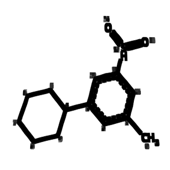 Cc1cc(C2CCCCC2)cc([SH](=O)=O)c1